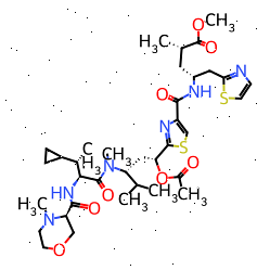 COC(=O)[C@@H](C)C[C@H](Cc1nccs1)NC(=O)c1csc([C@@H](C[C@H](C(C)C)N(C)C(=O)[C@@H](NC(=O)[C@H]2COCCN2C)[C@@H](C)C2CC2)OC(C)=O)n1